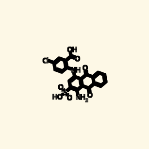 Nc1c(S(=O)(=O)O)cc(Nc2ccc(Cl)cc2C(=O)O)c2c1C(=O)c1ccccc1C2=O